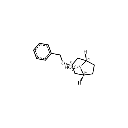 O=C(O)N1[C@@H]2CC[C@H]1C[C@@H](OCc1ccccc1)C2